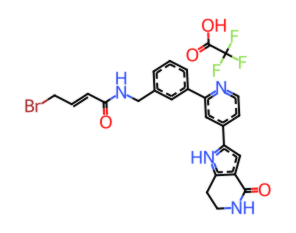 O=C(C=CCBr)NCc1cccc(-c2cc(-c3cc4c([nH]3)CCNC4=O)ccn2)c1.O=C(O)C(F)(F)F